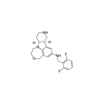 Fc1cccc(F)c1CNc1cc2c3c(c1)[C@@H]1CNCC[C@@H]1N3CCOC2